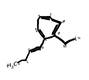 [CH2]CC=Cc1ccccc1CI